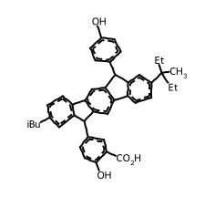 CCC(C)c1ccc2c(c1)C(c1ccc(O)c(C(=O)O)c1)c1cc3c(cc1-2)C(c1ccc(O)cc1)c1cc(C(C)(CC)CC)ccc1-3